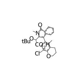 Cc1c(-c2c(C(OC(C)(C)C)C(=O)O)n(C)c(=O)c3ccccc23)cc(Cl)c2c1CCCO2